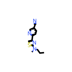 CCCN(C)c1nc(-c2ccc(C#N)cn2)cs1